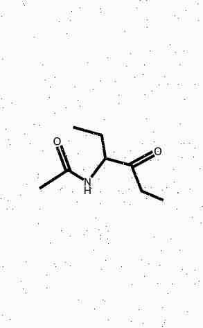 CCC(=O)C(CC)NC(C)=O